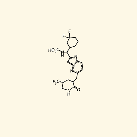 O=C(O)NC(c1cn2nc(CC3C[C@H](C(F)(F)F)CNC3=O)ccc2n1)[C@@H]1CCCC(F)(F)C1